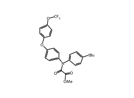 COC(=O)C(=O)N(c1ccc(Oc2ccc(OC(F)(F)F)cc2)cc1)c1ccc(C(C)(C)C)cc1